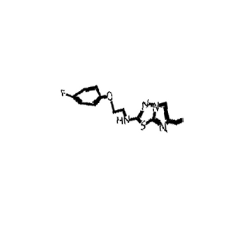 Cc1cn2nc(NCCOc3ccc(F)cc3)sc2n1